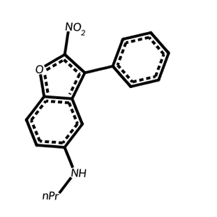 CCCNc1ccc2oc([N+](=O)[O-])c(-c3ccccc3)c2c1